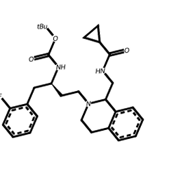 CC(C)(C)OC(=O)N[C@@H](CCN1CCc2ccccc2C1CNC(=O)C1CC1)Cc1ccccc1F